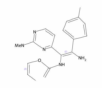 C=C(N/C(=C(\N)c1ccc(C)cc1)c1ccnc(NC)n1)O/C=C\C